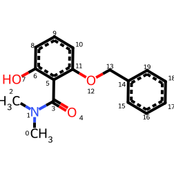 CN(C)C(=O)c1c(O)cccc1OCc1ccccc1